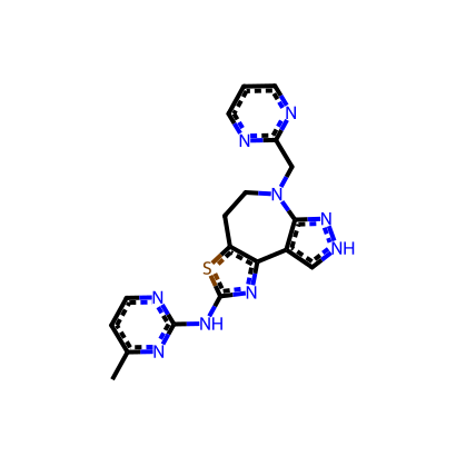 Cc1ccnc(Nc2nc3c(s2)CCN(Cc2ncccn2)c2n[nH]cc2-3)n1